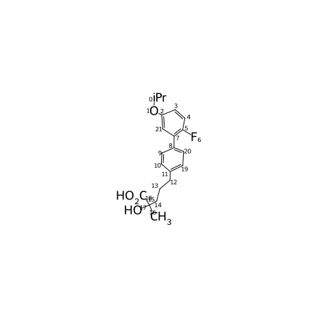 CC(C)Oc1ccc(F)c(-c2ccc(CCCC(C)(O)C(=O)O)cc2)c1